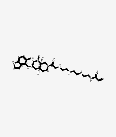 C=CC(=O)NCCOCCOCCOCC(=O)N1CC[C@@H]2C[C@H](Cc3c(F)ccc4occc34)CN(C)[C@H]2C1